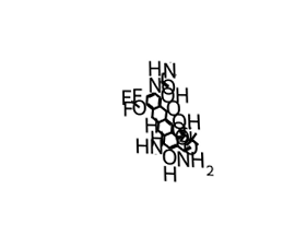 CN[C@@H]1C(O)=C(C(N)=O)C(=O)C2(O[Si](C)(C)C(C)(C)C)C(O)=C3C(=O)c4c(O)c(NC(=O)CN(C)C)cc(OC(F)(F)F)c4C[C@H]3C[C@@H]12